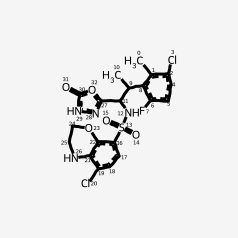 Cc1c(Cl)ccc(F)c1C(C)C(NS(=O)(=O)c1ccc(Cl)c2c1OCCN2)c1n[nH]c(=O)o1